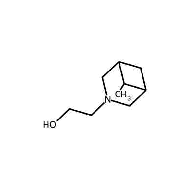 CC1C2CC1CN(CCO)C2